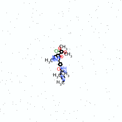 CCN1CCN(C(C)(C)/C=C(\C#N)C(=O)Nc2ccc(CCn3c(=O)c(-c4cc(OC)cc(OC)c4Cl)cc4cnc(NC)nc43)cc2)CC1